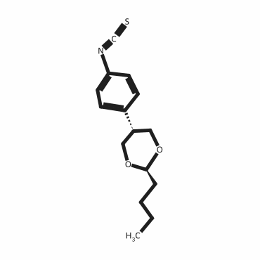 CCCC[C@H]1OC[C@H](c2ccc(N=C=S)cc2)CO1